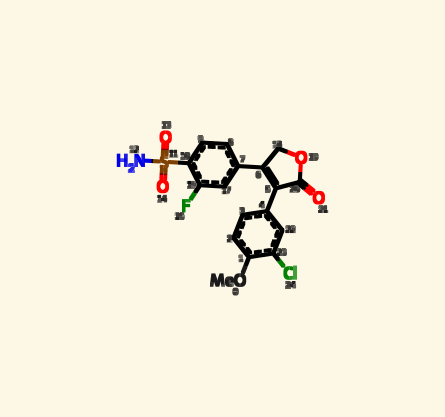 COc1ccc(C2=C(c3ccc(S(N)(=O)=O)c(F)c3)COC2=O)cc1Cl